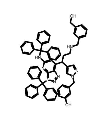 OCc1cccc(CNCCC(c2cnn(Cc3cccc(O)c3)c2)c2cc(NC(c3ccccc3)(c3ccccc3)c3ccccc3)nc3c2nnn3C(c2ccccc2)(c2ccccc2)c2ccccc2)c1